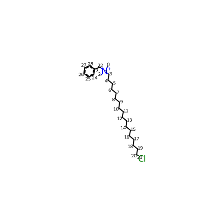 C[N+](C)(CCCCCCCCCCCCCCCCCCCl)Cc1ccccc1